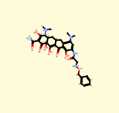 CN(C)c1cc(NC(=O)CNOCc2ccccc2)c(O)c2c1CC1CC3[C@H](N(C)C)C(O)=C(C(N)=O)C(=O)C3(O)C(O)=C1C2=O